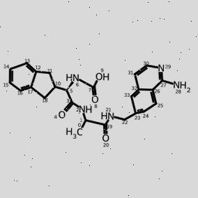 CC(NC(=O)[C@H](NC(=O)O)C1Cc2ccccc2C1)C(=O)NCc1ccc2c(N)nccc2c1